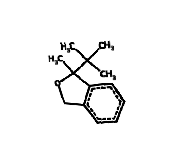 CC(C)(C)C1(C)OCc2ccccc21